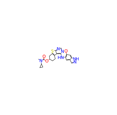 COc1cc2[nH]ncc2cc1Nc1ncnc2sc3c(c12)CCC(OC(=O)N(C)C1CC1)C3